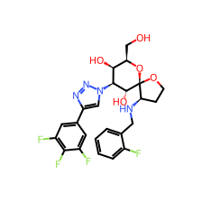 OC[C@H]1O[C@]2(OCC[C@H]2NCc2ccccc2F)[C@H](O)[C@@H](n2cc(-c3cc(F)c(F)c(F)c3)nn2)[C@H]1O